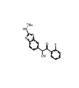 CC[C@@H](C)Nc1nc2ccc(C(C#N)C(=O)c3ccccc3F)cc2s1